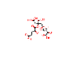 CC(=O)C(=O)O.O=C(O)CCC(=O)C(=O)OC(CC(=O)O)(CC(=O)O)C(=O)O